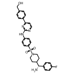 N[C@@H](c1ccc(F)cc1)C1CCN(S(=O)(=O)c2ccc(Nc3nccc(-c4ccc(CO)cc4)n3)cc2)CC1